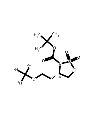 [2H]C([2H])([2H])OCC[C@H]1COS(=O)(=O)N1C(=O)OC(C)(C)C